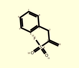 C=C(Cc1ccccc1)S(=O)(=O)F